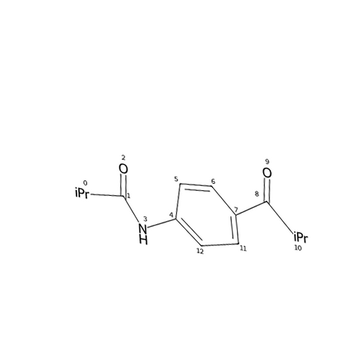 CC(C)C(=O)Nc1ccc(C(=O)C(C)C)cc1